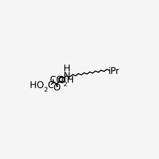 CC(C)CCCCCCCCCCCCCCNc1ccc(C(=O)C(C(=O)O)C(=O)O)cc1